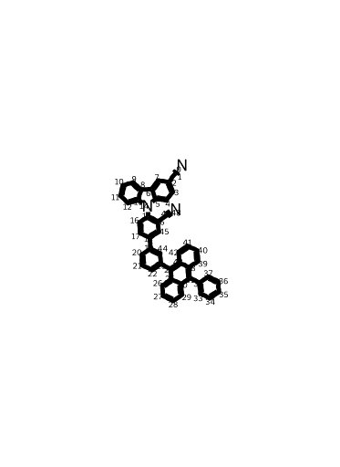 N#Cc1ccc2c(c1)c1ccccc1n2-c1ccc(-c2cccc(-c3c4ccccc4c(-c4ccccc4)c4ccccc34)c2)cc1C#N